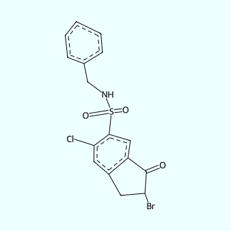 O=C1c2cc(S(=O)(=O)NCc3ccccc3)c(Cl)cc2CC1Br